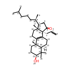 C=CC[C@@]12C(=O)C[C@H]([C@H](C)CCCC(C)C)[C@@]1(C)CCC1=C2CC[C@H]2C(C)(C)[C@@H](O)CC[C@]12C